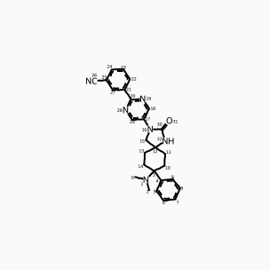 CN(C)C1(c2ccccc2)CCC2(CC1)CN(c1cnc(-c3cccc(C#N)c3)nc1)C(=O)N2